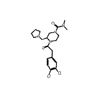 CN(C)C(=O)N1CCN(C(=O)Cc2ccc(Cl)c(Cl)c2)C(CN2CCCC2)C1